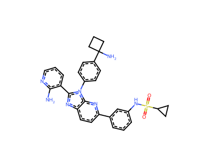 Nc1ncccc1-c1nc2ccc(-c3cccc(NS(=O)(=O)C4CC4)c3)nc2n1-c1ccc(C2(N)CCC2)cc1